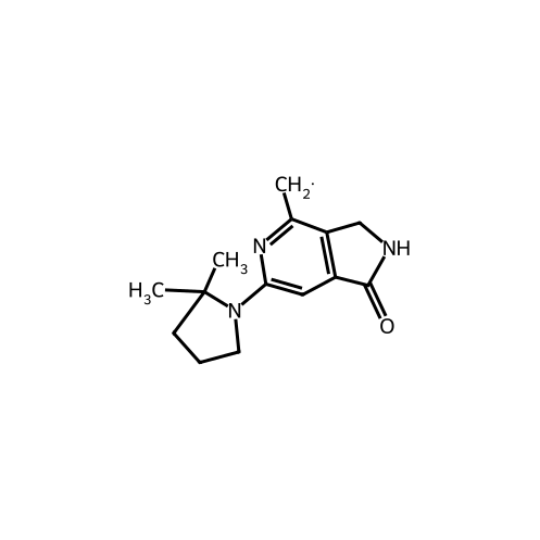 [CH2]c1nc(N2CCCC2(C)C)cc2c1CNC2=O